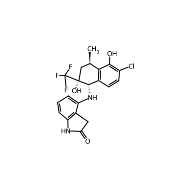 C[C@@H]1C[C@](O)(C(F)(F)F)[C@@H](Nc2cccc3c2CC(=O)N3)c2ccc(Cl)c(O)c21